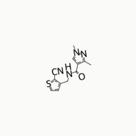 Cc1nn(C)cc1C(=O)NCc1ccsc1C#N